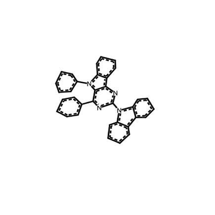 c1ccc(-c2nc(-n3c4ccccc4c4ccccc43)nc3c4ccccc4n(-c4ccccc4)c23)cc1